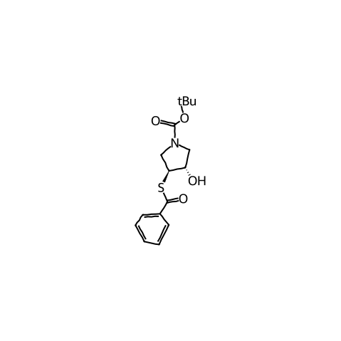 CC(C)(C)OC(=O)N1C[C@H](SC(=O)c2ccccc2)[C@@H](O)C1